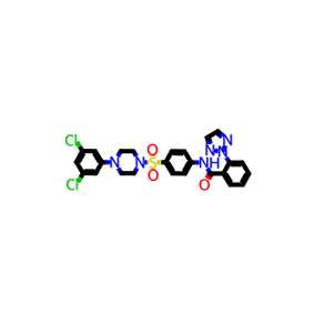 O=C(Nc1ccc(S(=O)(=O)N2CCN(c3cc(Cl)cc(Cl)c3)CC2)cc1)c1ccccc1-n1nccn1